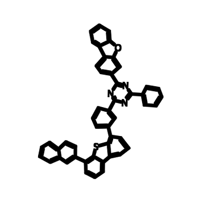 c1ccc(-c2nc(-c3cccc(-c4cccc5c4sc4c(-c6ccc7ccccc7c6)cccc45)c3)nc(-c3ccc4c(c3)oc3ccccc34)n2)cc1